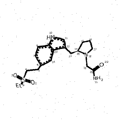 CCS(=O)(=O)CCc1ccc2[nH]cc(C[C@H]3CCCN3CC(N)=O)c2c1